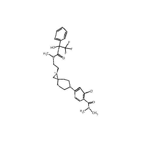 CN(C)C(=O)c1ccc(N2CCC3(CC2)C[C@H]3CCN(C)C(=O)C(O)(c2ccccc2)C(F)(F)F)cc1Cl